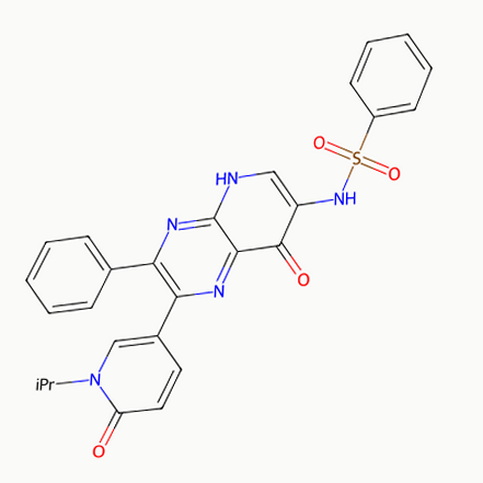 CC(C)n1cc(-c2nc3c(=O)c(NS(=O)(=O)c4ccccc4)c[nH]c3nc2-c2ccccc2)ccc1=O